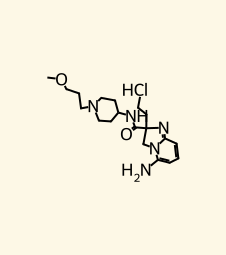 CCCC1(C(=O)NC2CCN(CCCOC)CC2)CN2C(N)=CC=CC2=N1.Cl